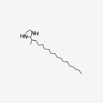 CCCCCCCCCCCCCCCCC(C)C1NCCN1